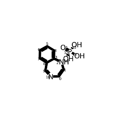 C1=CNc2ccccc2C=N1.O=P(O)(O)O